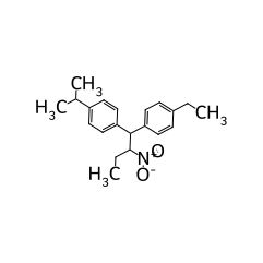 CCc1ccc(C(c2ccc(C(C)C)cc2)C(CC)[N+](=O)[O-])cc1